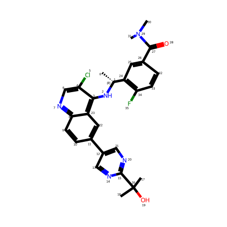 C[C@@H](Nc1c(Cl)cnc2ccc(-c3cnc(C(C)(C)O)nc3)cc12)c1cc(C(=O)N(C)C)ccc1F